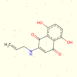 C=CCNC1=CC(=O)c2c(O)ccc(O)c2C1=O